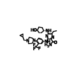 CCc1nc(C(N)=O)c(Nc2ccc(N3CCN(CC4CC4)CC3)c(C(F)(F)F)c2)nc1N[C@H]1CC[C@H](O)CC1